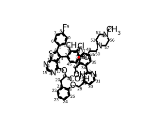 Cc1c(-c2c(-c3ccc(F)cc3)sc3ncnc(O[C@H](Cc4ccccc4OCc4ccnc(-c5ccccc5CO)n4)C(=O)O)c23)ccc(OCCN2CCN(C)CC2)c1Cl